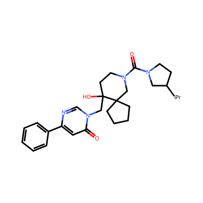 CC(C)C1CCN(C(=O)N2CCC(O)(Cn3cnc(-c4ccccc4)cc3=O)C3(CCCC3)C2)C1